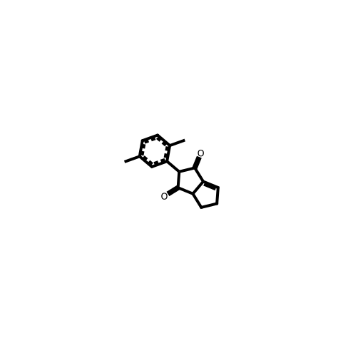 Cc1ccc(C)c(C2C(=O)C3=CCCC3C2=O)c1